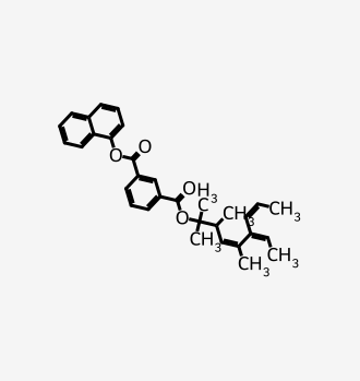 C\C=C/C(=C/C)C(/C)=C\C(C)C(C)(C)OC(=O)c1cccc(C(=O)Oc2cccc3ccccc23)c1